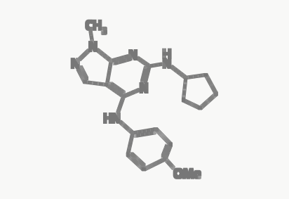 COc1ccc(Nc2nc(NC3CCCC3)nc3c2cnn3C)cc1